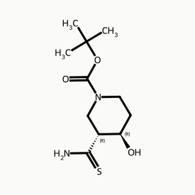 CC(C)(C)OC(=O)N1CC[C@@H](O)[C@H](C(N)=S)C1